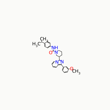 COc1cccc(-c2nc(C3CCCN(C(=O)Nc4ccc(C(C)C)cc4)C3)n3ccccc23)c1